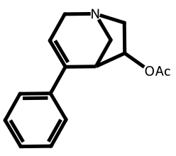 CC(=O)OC1CN2CC=C(c3ccccc3)C1C2